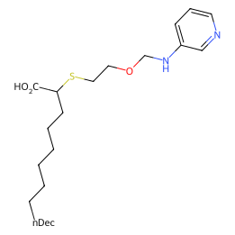 CCCCCCCCCCCCCCCCC(SCCOCNc1cccnc1)C(=O)O